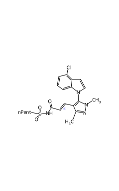 CCCCCS(=O)(=O)NC(=O)/C=C/c1c(C)nn(C)c1-n1ccc2c(Cl)cccc21